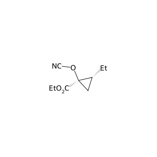 CCOC(=O)[C@@]1(OC#N)C[C@H]1CC